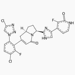 O=C1C=C(c2c(-n3cc(Cl)nn3)ccc(Cl)c2F)C[C@H]2CC[C@@H](c3nc(-c4cc[nH]c(=O)c4F)c[nH]3)N12